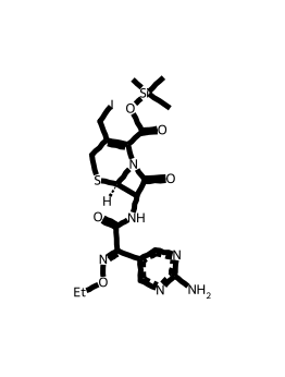 CCO/N=C(/C(=O)NC1C(=O)N2C(C(=O)O[Si](C)(C)C)=C(CI)CS[C@H]12)c1cnc(N)nc1